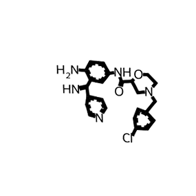 N=C(c1ccncc1)c1cc(NC(=O)C2CN(Cc3ccc(Cl)cc3)CCO2)ccc1N